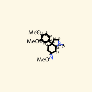 CON=C1CCC2(c3ccc(OC)c(OC)c3)CCN(C)C2C1